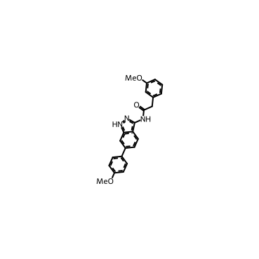 COc1ccc(-c2ccc3c(NC(=O)Cc4cccc(OC)c4)n[nH]c3c2)cc1